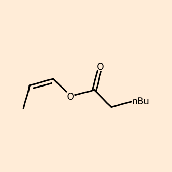 C/C=C\OC(=O)CCCCC